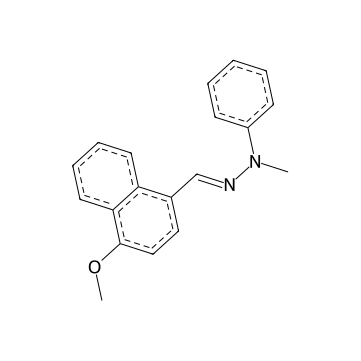 COc1ccc(C=NN(C)c2ccccc2)c2ccccc12